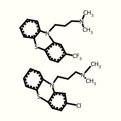 CN(C)CCCN1c2ccccc2Sc2ccc(C(F)(F)F)cc21.CN(C)CCCN1c2ccccc2Sc2ccc(Cl)cc21